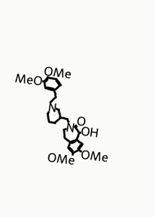 COc1ccc(CCN2CCCC(CN3CCc4cc(OC)c(OC)cc4C(O)C3=O)C2)cc1OC